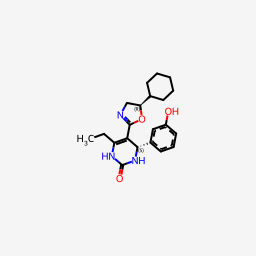 CCC1=C(C2=NC[C@@H](C3CCCCC3)O2)[C@H](c2cccc(O)c2)NC(=O)N1